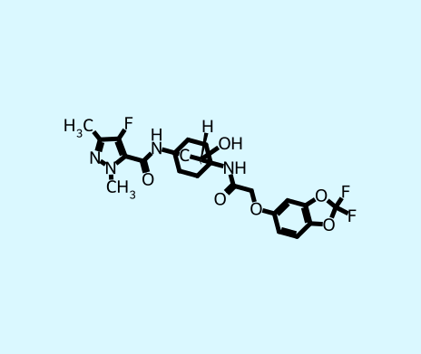 Cc1nn(C)c(C(=O)NC23CCC(NC(=O)COc4ccc5c(c4)OC(F)(F)O5)(CC2)[C@@H](O)C3)c1F